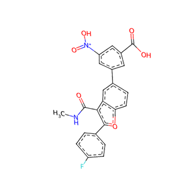 CNC(=O)c1c(-c2ccc(F)cc2)oc2ccc(-c3cc(C(=O)O)cc([N+](=O)O)c3)cc12